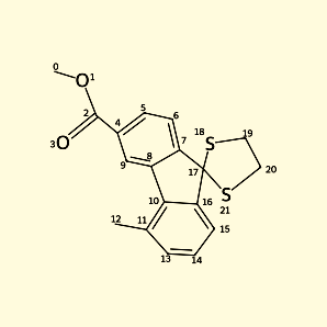 COC(=O)c1ccc2c(c1)-c1c(C)cccc1C21SCCS1